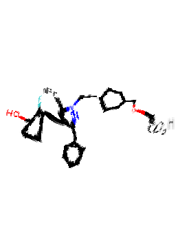 CCCc1c(-c2cccc(O)c2F)c(-c2ccccc2)nn1C[C@H]1CC[C@H](COCC(=O)O)CC1